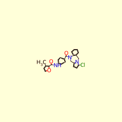 Cc1ccoc1C(=O)Nc1ccc(C(=O)N2Cc3ccc(Cl)n3Cc3ccccc32)cc1